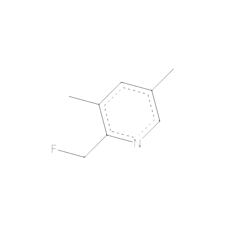 Cc1cnc(CF)c(C)c1